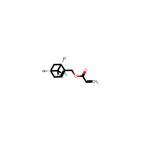 C=CC(=O)OCC1=CC[C@H]2C[C@@H]1C2(C)C